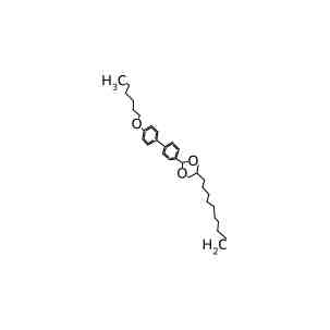 C=CCCCCCCCCC1COC(c2ccc(-c3ccc(OCCCCCC)cc3)cc2)OC1